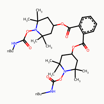 CCCCNC(=O)ON1C(C)(C)CC(OC(=O)c2ccccc2C(=O)OC2CC(C)(C)N(OC(=O)NCCCC)C(C)(C)C2)CC1(C)C